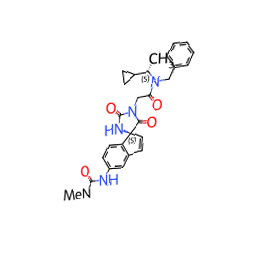 CNC(=O)Nc1ccc2c(c1)C=C[C@]21NC(=O)N(CC(=O)N(Cc2ccccc2)[C@@H](C)C2CC2)C1=O